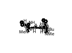 CN[C@@H](C)C(=O)N[C@@H](CCCNC(=O)CCCC(=O)N[C@H]1C[C@@H](C(=O)N[C@@H]2CCCc3ccccc32)N(C(=O)[C@@H](NC(=O)[C@H](C)NC)C(C)(C)C)C1)C(=O)N1C[C@@H](N)C[C@H]1C(=O)N[C@@H]1CCCc2ccccc21